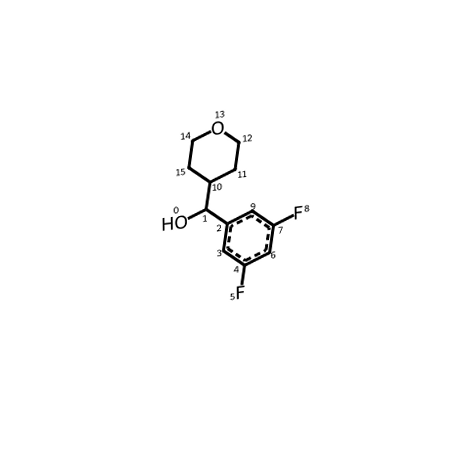 OC(c1cc(F)cc(F)c1)C1CCOCC1